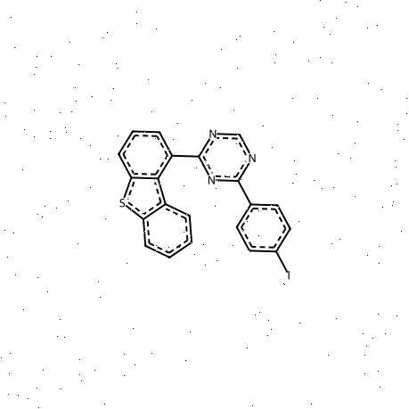 Ic1ccc(-c2ncnc(-c3cccc4sc5ccccc5c34)n2)cc1